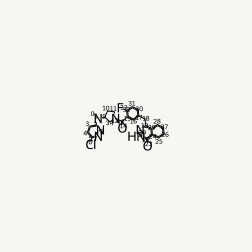 CN(c1ccc(Cl)nn1)[C@H]1CCN(C(=O)c2cc(Cc3n[nH]c(=O)c4ccccc34)ccc2F)C1